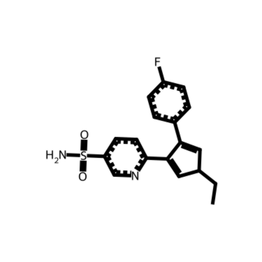 CCC1C=C(c2ccc(F)cc2)C(c2ccc(S(N)(=O)=O)cn2)=C1